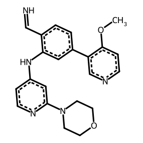 COc1ccncc1-c1ccc(C=N)c(Nc2ccnc(N3CCOCC3)c2)c1